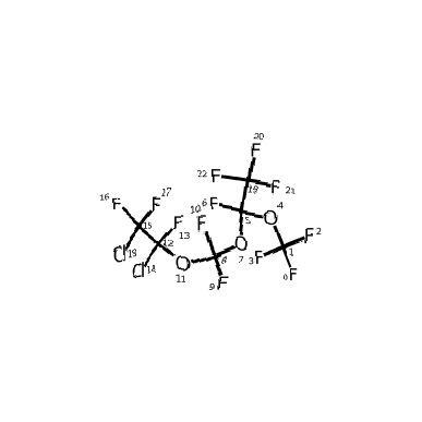 FC(F)(F)OC(F)(OC(F)(F)OC(F)(Cl)C(F)(F)Cl)C(F)(F)F